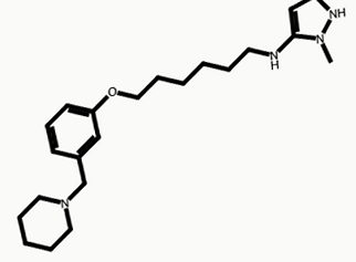 Cn1[nH]c(=O)cc1NCCCCCCOc1cccc(CN2CCCCC2)c1